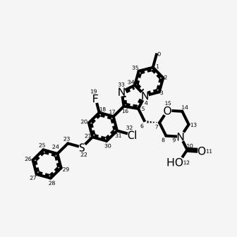 Cc1ccn2c(C[C@H]3CN(C(=O)O)CCO3)c(-c3c(F)cc(SCc4ccccc4)cc3Cl)nc2c1